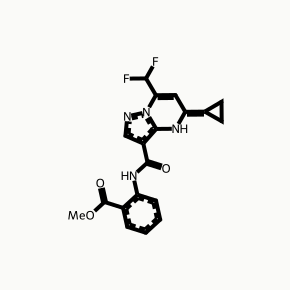 COC(=O)c1ccccc1NC(=O)c1cnn2c1NC(=C1CC1)C=C2C(F)F